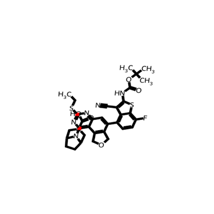 CCSc1nc(N2C3CCC2CN(C(=O)O)C3)c2c3c(c(-c4ccc(F)c5sc(NC(=O)OC(C)(C)C)c(C#N)c45)cc2n1)COC3